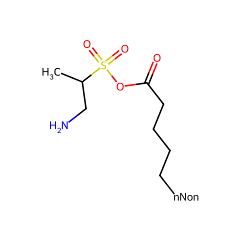 CCCCCCCCCCCCCC(=O)OS(=O)(=O)C(C)CN